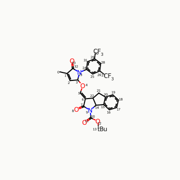 CC1=CC(O/C=C2/C(=O)N(C(=O)OC(C)(C)C)C3c4ccccc4CC23)N(c2cc(C(F)(F)F)cc(C(F)(F)F)c2)C1=O